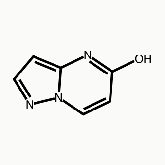 Oc1ccn2nccc2n1